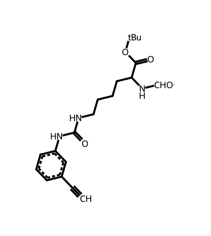 C#Cc1cccc(NC(=O)NCCCCC(N[C]=O)C(=O)OC(C)(C)C)c1